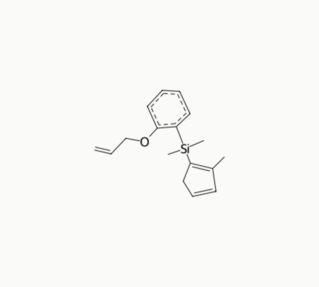 C=CCOc1ccccc1[Si](C)(C)C1=C(C)C=CC1